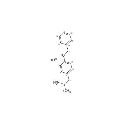 CC(N)Cc1ccc(OCc2ccccc2)cc1.Cl